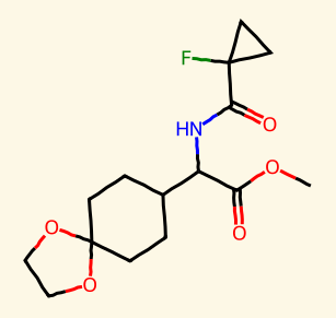 COC(=O)C(NC(=O)C1(F)CC1)C1CCC2(CC1)OCCO2